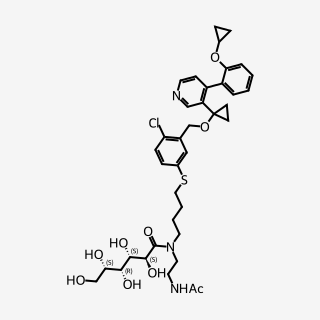 CC(=O)NCCN(CCCCSc1ccc(Cl)c(COC2(c3cnccc3-c3ccccc3OC3CC3)CC2)c1)C(=O)[C@@H](O)[C@@H](O)[C@H](O)[C@@H](O)CO